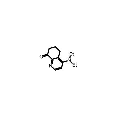 CCN(CC)c1ccnc2c1CCCC2=O